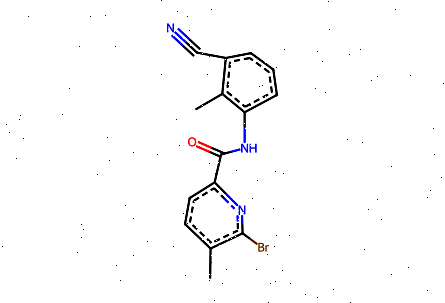 Cc1ccc(C(=O)Nc2cccc(C#N)c2C)nc1Br